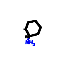 N[C@H]1[CH]CCCC1